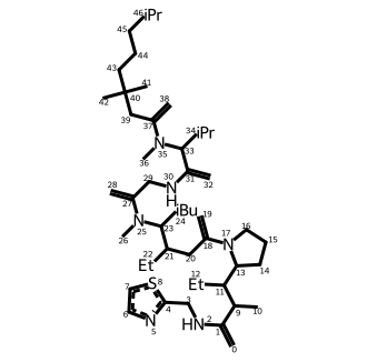 C=C(NCc1nccs1)C(C)C(CC)C1CCCN1C(=C)CC(CC)C(C(C)CC)N(C)C(=C)CNC(=C)C(C(C)C)N(C)C(=C)CC(C)(C)CCCC(C)C